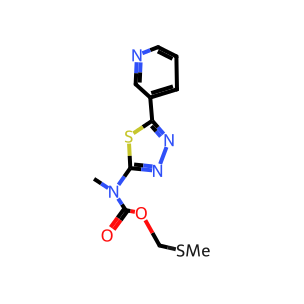 CSCOC(=O)N(C)c1nnc(-c2cccnc2)s1